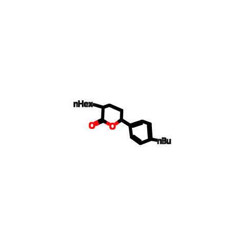 CCCCCCC1CCC(c2ccc(CCCC)cc2)OC1=O